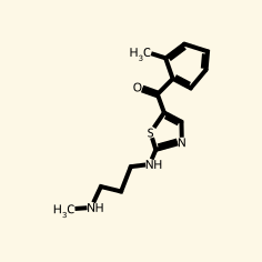 CNCCCNc1ncc(C(=O)c2ccccc2C)s1